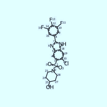 O=S(=O)(c1cc2nc(-c3cc(F)c(F)c(F)c3)[nH]c2cc1Cl)N1CCC(O)CC1